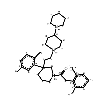 Cc1ccc(C)c(C2(CCN3CCC(N4CCCCC4)CC3)CCCN(C(=O)Cc3c(F)cccc3Cl)C2)c1